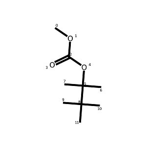 COC(=O)OC(C)(C)C(C)(C)C